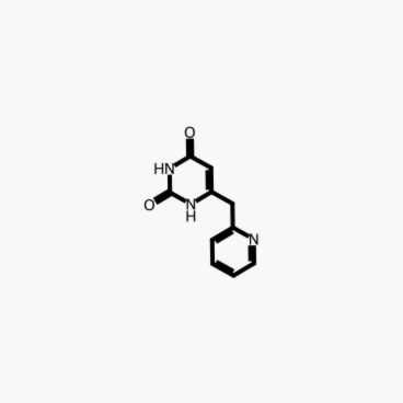 O=c1cc(Cc2ccccn2)[nH]c(=O)[nH]1